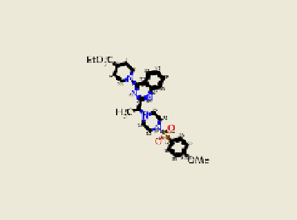 CCOC(=O)C1CCN(c2nc(C(C)N3CCN(S(=O)(=O)c4ccc(OC)cc4)CC3)nc3ccccc23)CC1